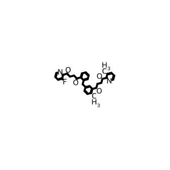 Cc1ccc(Cc2ccccc2C(=O)CCC(=O)c2ncccc2F)cc1C(=O)CCC(=O)c1ncccc1C